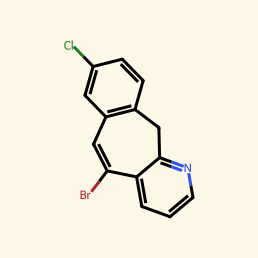 Clc1ccc2c(c1)C=C(Br)c1cccnc1C2